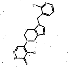 CCc1ncccc1Cn1cnc2c1CCN(c1cn[nH]c(=O)c1Cl)C2